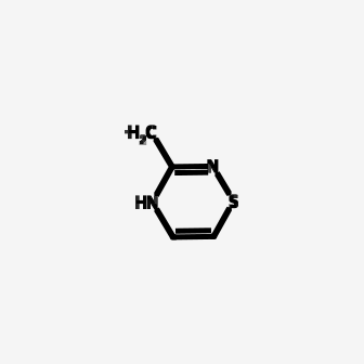 [CH2]C1=NSC=CN1